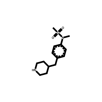 CN(c1ccc(CC2CCNCC2)cc1)S(C)(=O)=O